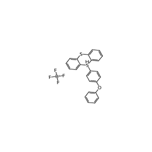 F[B-](F)(F)F.c1ccc(Oc2ccc([SH]3c4ccccc4Sc4ccccc43)cc2)cc1